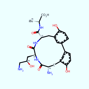 CC[C@@H](C)C(NC(=O)[C@@H]1Cc2cc(ccc2O)-c2ccc(O)c(c2)C[C@H](N)C(=O)N[C@@H](C[C@@H](O)CN)C(=O)N1)C(=O)O